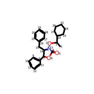 CC(ON1C(=O)OC(c2ccccc2)C1Cc1ccccc1)C1CCCCC1